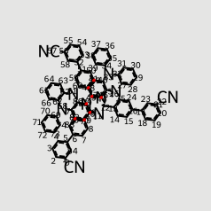 N#Cc1cccc(-c2ccc(-c3nc(-c4ccc(-c5cccc(C#N)c5)cc4N4c5ccccc5N(c5ccccc5)c5ccccc54)nc(-c4ccc(-c5cccc(C#N)c5)cc4N4c5ccccc5N(c5ccccc5)c5ccccc54)n3)cc2)c1